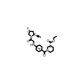 CCOC(=O)[C@@H]1CCCN(C(=O)C23CCC(NCC(=O)N4C[C@@H](F)C[C@H]4C#N)(CC2)CC3)C1